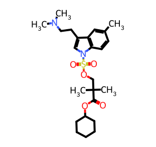 Cc1ccc2c(c1)c(CCN(C)C)cn2S(=O)(=O)OCC(C)(C)C(=O)OC1CCCCC1